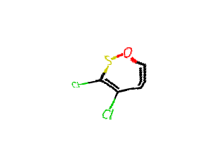 ClC1=C(Cl)SOC=C1